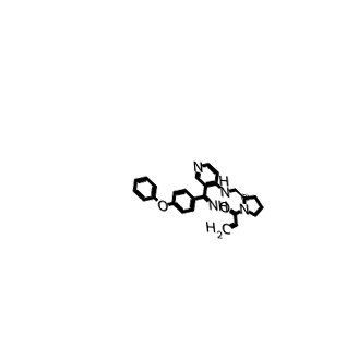 C=CC(=O)N1CCC[C@@H]1CNc1ccncc1C(=N)c1ccc(Oc2ccccc2)cc1